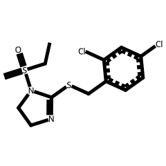 C=S(=O)(CC)N1CCN=C1SCc1ccc(Cl)cc1Cl